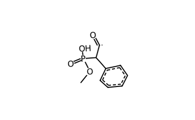 COP(=O)(O)C([C]=O)c1ccccc1